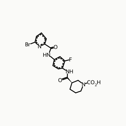 O=C(Nc1ccc(NC(=O)[C@@H]2CCCN(C(=O)O)C2)c(F)c1)c1cccc(Br)n1